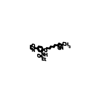 CCC(=O)Nc1cc(C2=NCCO2)ccc1OCCCCCc1cc(C)no1